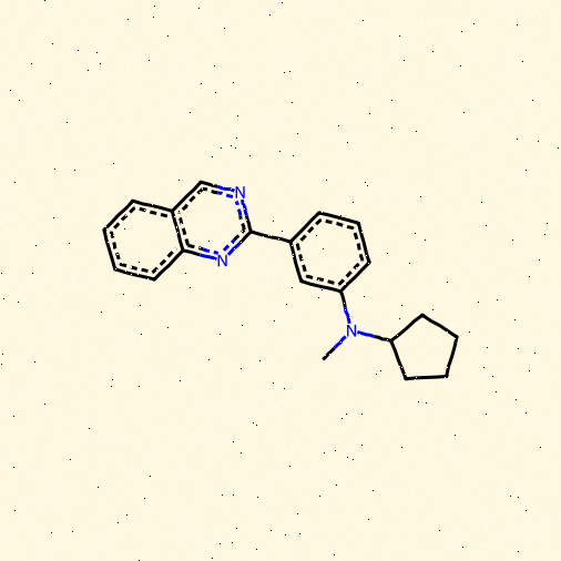 CN(c1cccc(-c2ncc3ccccc3n2)c1)C1CCCC1